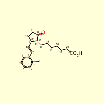 Cc1ccccc1C=C[C@H]1CCC(=O)[C@@H]1CCCCCCC(=O)O